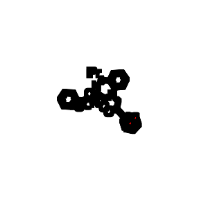 CC(C)C1=NC(N=C=O)(OCc2ccccc2)C(=O)N(CC(=O)N2CC3CCC(CC3)C2)c2ccccc21